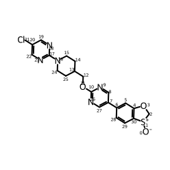 [O-][S+]1COc2cc(-c3cnc(OCC4CCN(c5ncc(Cl)cn5)CC4)nc3)ccc21